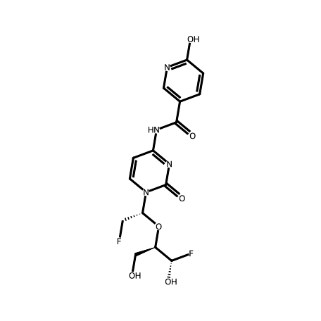 O=C(Nc1ccn([C@@H](CF)O[C@H](CO)[C@@H](O)F)c(=O)n1)c1ccc(O)nc1